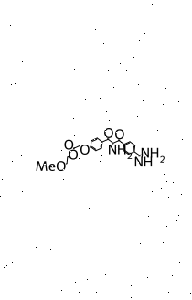 COCCOC(=O)COc1ccc(C(=O)C(N)C(=O)c2ccc(C(=N)N)cc2)cc1